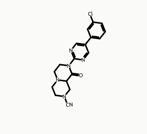 N#CN1CCN2CCN(c3ncc(-c4cccc(Cl)c4)cn3)C(=O)C2C1